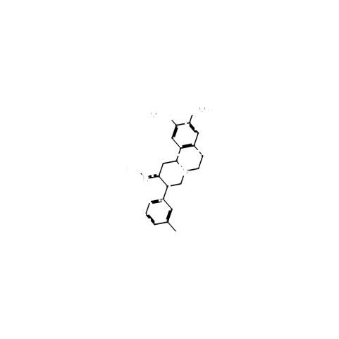 COc1cc2c(cc1OC)C1CC(=NO)C(c3cccc(C)c3)CN1CC2